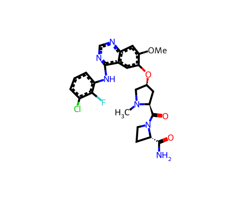 COc1cc2ncnc(Nc3cccc(Cl)c3F)c2cc1O[C@H]1C[C@@H](C(=O)N2CC[C@H]2C(N)=O)N(C)C1